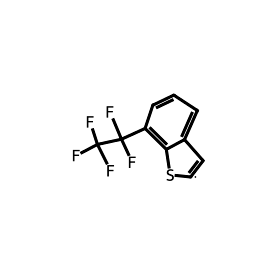 FC(F)(F)C(F)(F)c1cccc2c[c]sc12